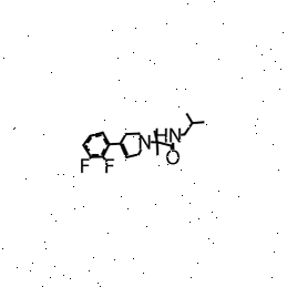 CC(C)CNC(=O)C(C)(C)N1CC=C(c2cccc(F)c2F)CC1